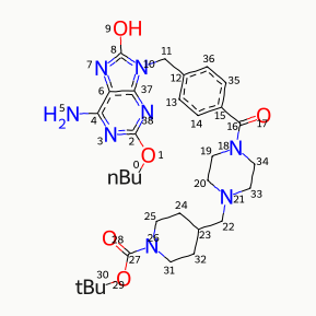 CCCCOc1nc(N)c2nc(O)n(Cc3ccc(C(=O)N4CCN(CC5CCN(C(=O)OC(C)(C)C)CC5)CC4)cc3)c2n1